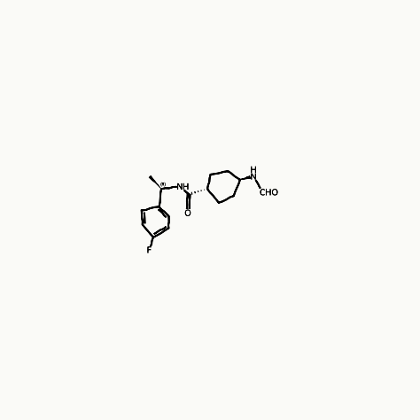 C[C@@H](NC(=O)[C@H]1CC[C@H](NC=O)CC1)c1ccc(F)cc1